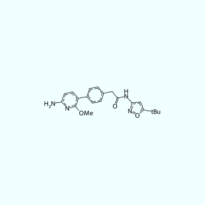 COc1nc(N)ccc1-c1ccc(CC(=O)Nc2cc(C(C)(C)C)on2)cc1